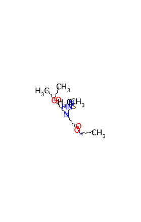 CCCCCC/C=C\COC(=O)CCCCCCCN(CCCCCCCC(=O)OC(CCCCC)CCCCCC)CCCNC(=S)N(C)C